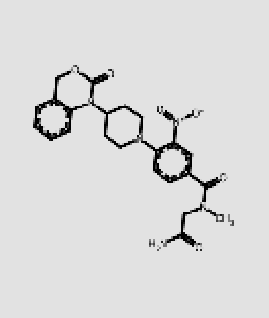 CN(CC(N)=O)C(=O)c1ccc(N2CCC(N3C(=O)OCc4ccccc43)CC2)c([N+](=O)[O-])c1